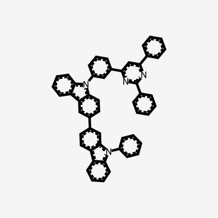 c1ccc(-c2cc(-c3cccc(-n4c5ccccc5c5cc(-c6ccc7c8ccccc8n(-c8ccccc8)c7c6)ccc54)c3)nc(-c3ccccc3)n2)cc1